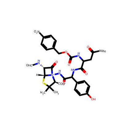 CNC(=O)CC(NC(=O)OCc1ccc([N+](=O)[O-])cc1)C(=O)NC(C(=O)N[N+]12C(=O)[C@@H](NC=O)[C@H]1SC(C)(C)[C@@H]2C(=O)[O-])c1ccc(O)cc1